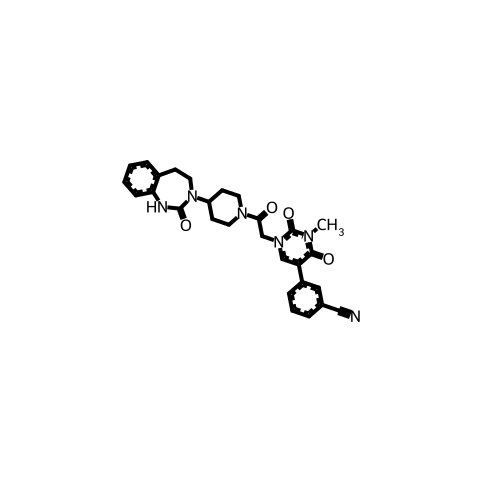 Cn1c(=O)c(-c2cccc(C#N)c2)cn(CC(=O)N2CCC(N3CCc4ccccc4NC3=O)CC2)c1=O